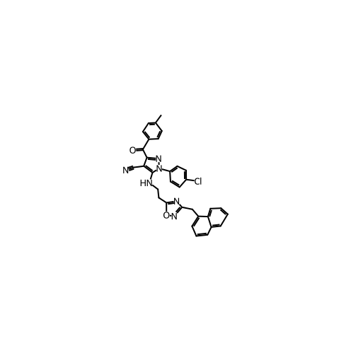 Cc1ccc(C(=O)c2nn(-c3ccc(Cl)cc3)c(NCCc3nc(Cc4cccc5ccccc45)no3)c2C#N)cc1